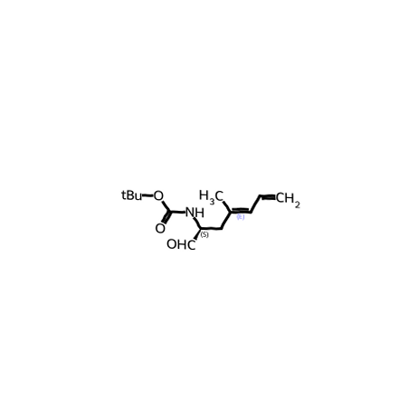 C=C/C=C(\C)C[C@@H](C=O)NC(=O)OC(C)(C)C